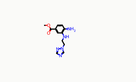 COC(=O)c1ccc(N)c(NCCn2cncn2)c1